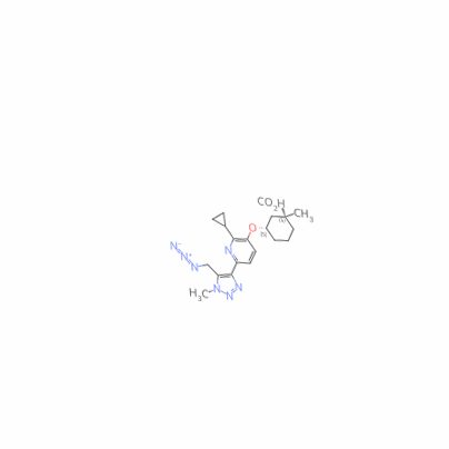 Cn1nnc(-c2ccc(O[C@H]3CCC[C@](C)(C(=O)O)C3)c(C3CC3)n2)c1CN=[N+]=[N-]